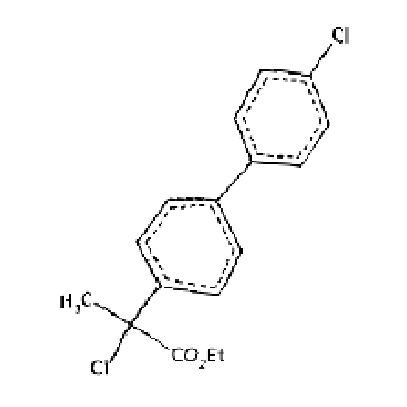 CCOC(=O)C(C)(Cl)c1ccc(-c2ccc(Cl)cc2)cc1